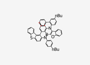 CCCCc1ccc(N2B3c4oc5ccccc5c4N(c4ccc(CCCC)cc4-c4ccccc4)c4cc(C)cc(c43)-c3c2ccc2sc4ccccc4c32)cc1